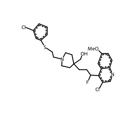 COc1ccc2ncc(Cl)c(C(F)CCC3(CO)CCN(CCSc4cccc(Cl)c4)CC3)c2c1